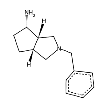 N[C@H]1CC[C@H]2CN(Cc3ccccc3)C[C@H]21